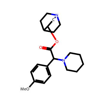 COc1ccc(C(C(=O)OC2CN3CCC2CC3)N2CCCCC2)cc1